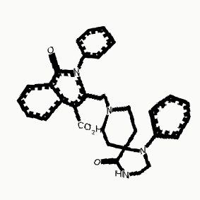 O=C(O)c1c(CN2CCC3(CC2)C(=O)NCN3c2ccccc2)n(-c2ccccc2)c(=O)c2ccccc12